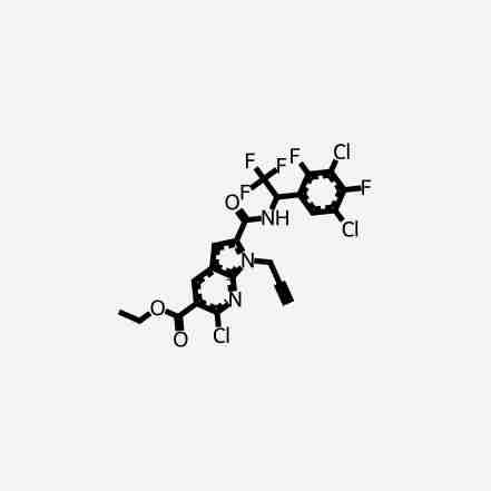 C#CCn1c(C(=O)NC(c2cc(Cl)c(F)c(Cl)c2F)C(F)(F)F)cc2cc(C(=O)OCC)c(Cl)nc21